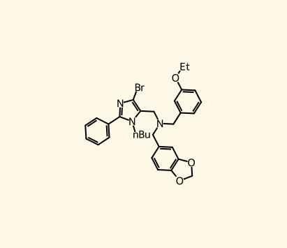 CCCCn1c(-c2ccccc2)nc(Br)c1CN(Cc1cccc(OCC)c1)Cc1ccc2c(c1)OCO2